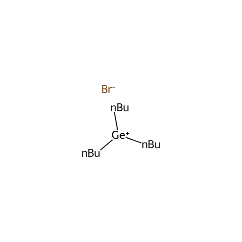 CCC[CH2][Ge+]([CH2]CCC)[CH2]CCC.[Br-]